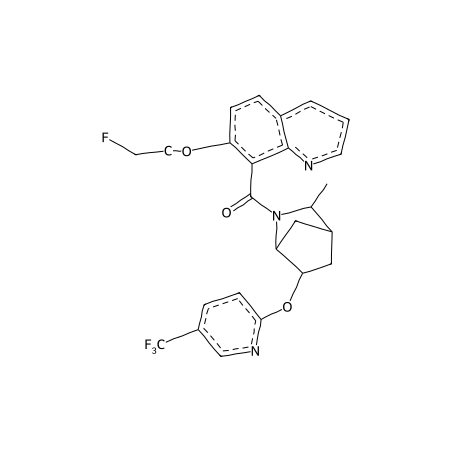 CC1C2CC(Oc3ccc(C(F)(F)F)cn3)C(C2)N1C(=O)c1c(OCCF)ccc2cccnc12